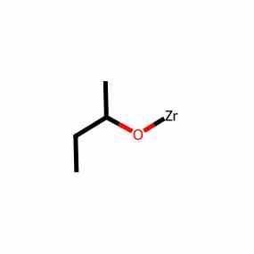 CCC(C)[O][Zr]